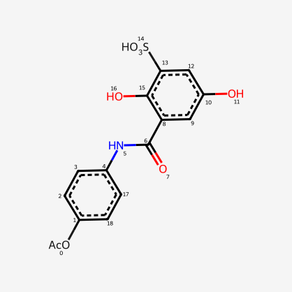 CC(=O)Oc1ccc(NC(=O)c2cc(O)cc(S(=O)(=O)O)c2O)cc1